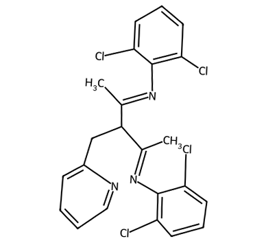 C/C(=N\c1c(Cl)cccc1Cl)C(Cc1ccccn1)/C(C)=N/c1c(Cl)cccc1Cl